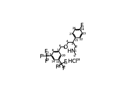 CNCC(COCc1cc(C(F)(F)F)cc(C(F)(F)F)c1)c1ccc(F)cc1.Cl